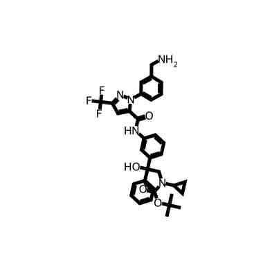 CC(C)(C)OC(=O)N(CC(O)(c1ccccc1)c1cccc(NC(=O)c2cc(C(F)(F)F)nn2-c2cccc(CN)c2)c1)C1CC1